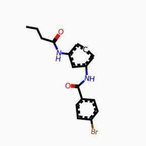 CCCC(=O)Nc1cccc(NC(=O)c2ccc(Br)cc2)c1